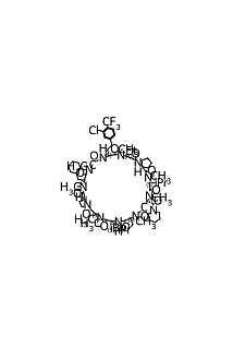 CC[C@@H]1C(=O)NC2(CCCC2)C(=O)N(C)[C@@H](C(C)C)C(=O)N(C)[C@H](C(=O)N2CCCCC2)CC(=O)N(C)[C@@H](CC(C)C)C(=O)N[C@@H]([C@@H](C)CC)C(=O)N(C)[C@@H](C)C(=O)N2CC[C@H]2C(=O)N(C)[C@@H](CC2CCCCC2)C(=O)N(C)CC(=O)N[C@@H](CCc2ccc(C(F)(F)F)c(Cl)c2)C(=O)N1C